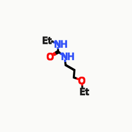 [CH2]CNC(=O)NCCCOCC